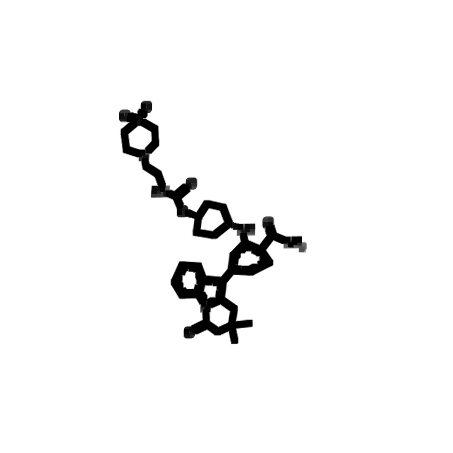 CC1(C)CC(=O)n2c(c(-c3ccc(C(N)=O)c(N[C@H]4CC[C@H](OC(=O)NCCN5CCS(=O)(=O)CC5)CC4)c3)c3ccccc32)C1